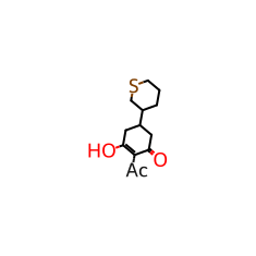 CC(=O)C1=C(O)CC(C2CCCSC2)CC1=O